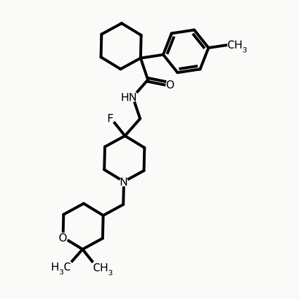 Cc1ccc(C2(C(=O)NCC3(F)CCN(CC4CCOC(C)(C)C4)CC3)CCCCC2)cc1